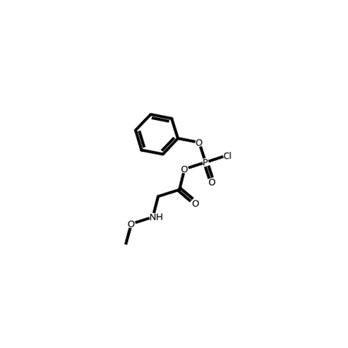 CONCC(=O)OP(=O)(Cl)Oc1ccccc1